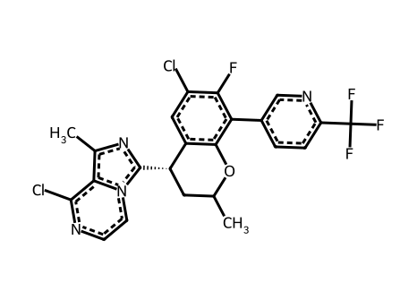 Cc1nc([C@H]2CC(C)Oc3c2cc(Cl)c(F)c3-c2ccc(C(F)(F)F)nc2)n2ccnc(Cl)c12